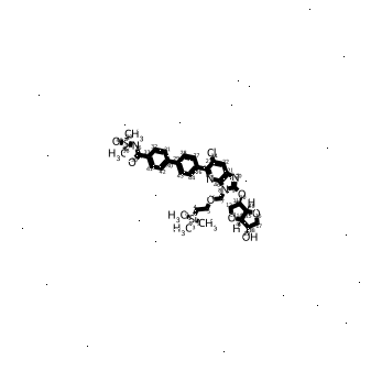 C[Si](C)(C)CCOCn1c(O[C@@H]2CO[C@H]3[C@@H]2OC[C@H]3O)nc2cc(Cl)c(-c3ccc(-c4ccc(C(=O)N=S(C)(C)=O)cc4)cc3)nc21